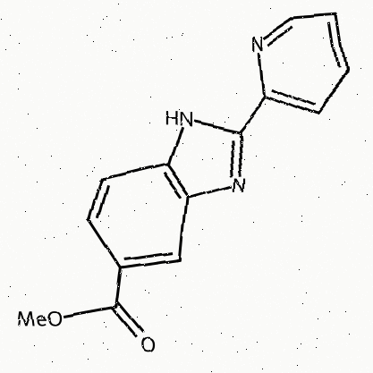 COC(=O)c1ccc2[nH]c(-c3ccccn3)nc2c1